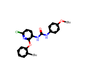 CC(C)(C)Oc1ccc(NC(=O)Nc2ccc(Cl)nc2Oc2ccccc2C(C)(C)C)cc1